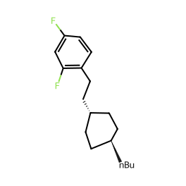 CCCC[C@H]1CC[C@H](CCc2ccc(F)cc2F)CC1